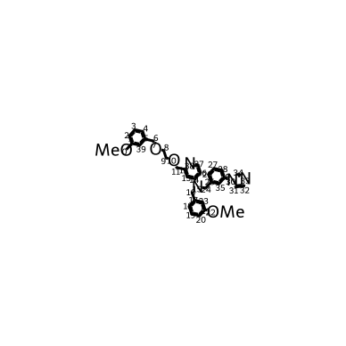 COc1cccc(COCCOCc2cc(N(Cc3cccc(OC)c3)Cc3cccc(-n4ccnc4)c3)ccn2)c1